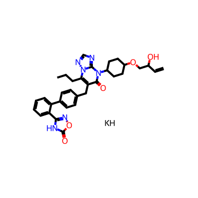 C=CC(O)COC1CCC(n2c(=O)c(Cc3ccc(-c4ccccc4-c4noc(=O)[nH]4)cc3)c(CCC)n3ncnc23)CC1.[KH]